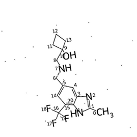 Cc1nc2cc(CNCC3(O)CCC3)cc(C(F)(F)F)c2[nH]1